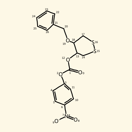 O=C(Oc1ccc([N+](=O)[O-])cc1)OC1CSSCC1OCc1ccccc1